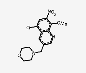 COc1c([N+](=O)[O-])cc(Cl)c2cc(CN3CCOCC3)cnc12